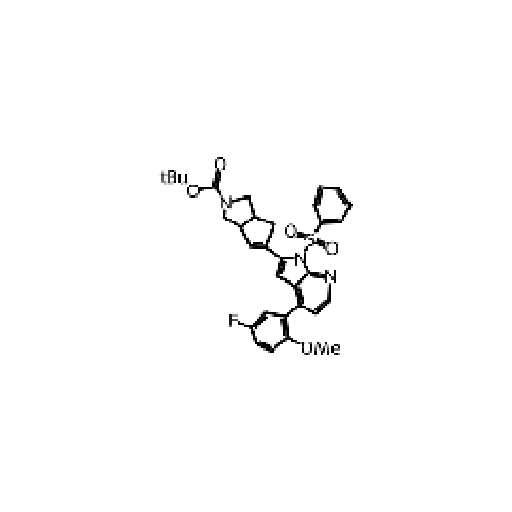 COc1ccc(F)cc1-c1ccnc2c1cc(C1=CC3CN(C(=O)OC(C)(C)C)CC3C1)n2S(=O)(=O)c1ccccc1